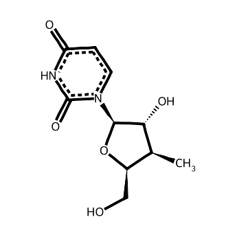 C[C@@H]1[C@@H](O)[C@H](n2ccc(=O)[nH]c2=O)O[C@@H]1CO